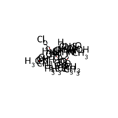 C[C@@H]1NC(=O)[C@@H](N(C)C(=O)[C@H](CCCCNC(=O)OC(C)(C)C)NC(=O)c2ccc(-c3ccc(Cl)cc3)cc2)c2ccc(OC(=O)OC(C)(C)C)c(c2)-c2cc(ccc2OC(=O)OC(C)(C)C)C[C@@H](C(=O)N[C@@H](C)C(=O)C(F)(F)C(=O)O)NC1=O